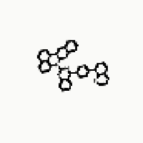 c1ccc2cc3c(cc2c1)-c1cccc2cccc(c12)N3c1nc(-c2ccc(-c3cccc4cccnc34)cc2)c2ccccc2n1